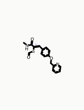 CNC(=O)/C(=C/c1ccc(OCc2ccccn2)cc1)SC=O